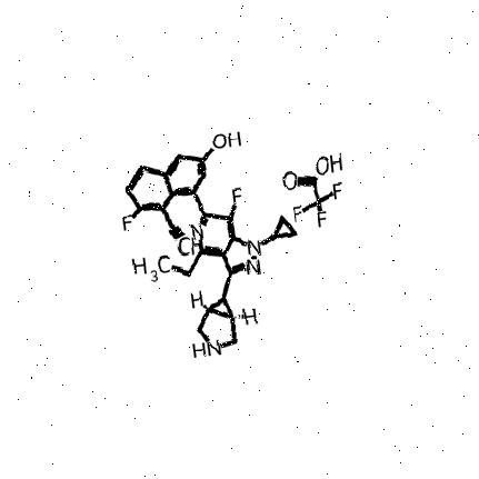 C#Cc1c(F)ccc2cc(O)cc(-c3nc(CC)c4c(C5[C@H]6CNC[C@@H]56)nn(C5CC5)c4c3F)c12.O=C(O)C(F)(F)F